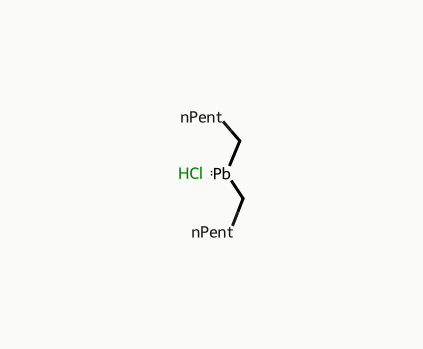 CCCCC[CH2][Pb][CH2]CCCCC.Cl